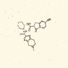 C#Cc1ccc2c(c1)CC(C(=O)N[C@H]1CCCC[C@H]1NC(=O)c1nc3c(s1)CN(C)CC3)N2